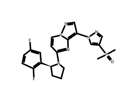 CP(C)(=O)c1cnn(-c2cnn3ccc(N4CCC[C@H]4c4cc(F)ccc4F)nc23)c1